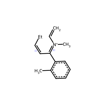 C=C/[N+](C)=C(\C=C/CC)c1ccccc1C